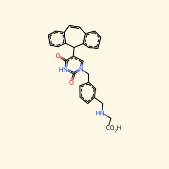 O=C(O)CNCc1cccc(Cn2cc(C3c4ccccc4C=Cc4ccccc43)c(=O)[nH]c2=O)c1